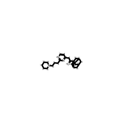 O=C(Cc1ccnc(CCCN2CCCCC2)n1)C12CC3CC(CC(C3)C1)C2